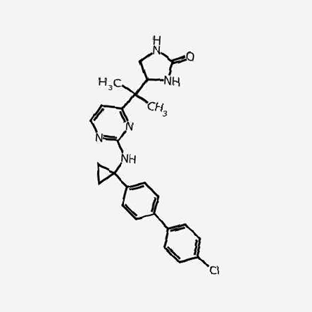 CC(C)(c1ccnc(NC2(c3ccc(-c4ccc(Cl)cc4)cc3)CC2)n1)C1CNC(=O)N1